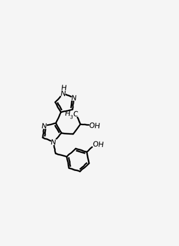 CC(O)Cc1c(-c2cn[nH]c2)ncn1Cc1cccc(O)c1